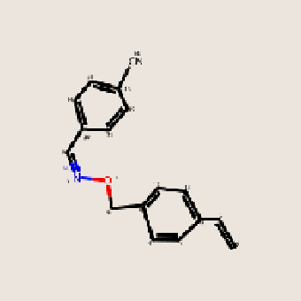 C=Cc1ccc(CO/N=[C]\c2ccc(C#N)cc2)cc1